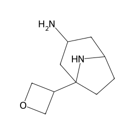 NC1CC2CCC(C3COC3)(C1)N2